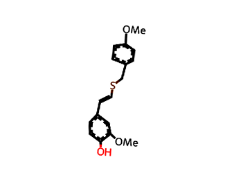 COc1ccc(CSC=Cc2ccc(O)c(OC)c2)cc1